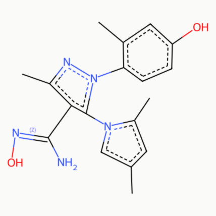 Cc1cc(C)n(-c2c(/C(N)=N/O)c(C)nn2-c2ccc(O)cc2C)c1